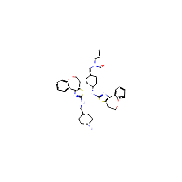 CCCN(C=O)CC1CCC(Nc2nc3c(s2)CCOc2ccccc2-3)CC1.NC1CCC(CNc2nc3c(s2)CCOc2ccccc2-3)CC1